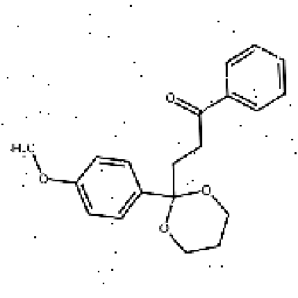 COc1ccc(C2(CCC(=O)c3ccccc3)OCCCO2)cc1